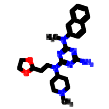 CN1CCC(N(CCC2OCCO2)c2nc(N)nc(N(C)c3ccc4ccccc4c3)n2)CC1